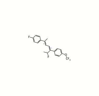 C/C(=C\C=C(\c1ccc(OC(F)(F)F)cc1)C(C)F)c1ccc(F)cc1